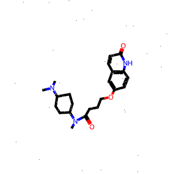 CN(C)C1CCC(N(C)C(=O)CCCOc2ccc3[nH]c(=O)ccc3c2)CC1